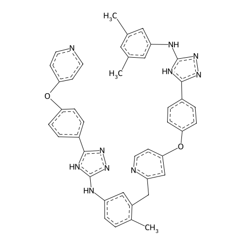 Cc1cc(C)cc(Nc2nnc(-c3ccc(Oc4ccnc(Cc5cc(Nc6nnc(-c7ccc(Oc8ccncc8)cc7)[nH]6)ccc5C)c4)cc3)[nH]2)c1